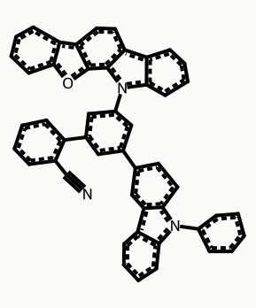 N#Cc1ccccc1-c1cc(-c2ccc3c(c2)c2ccccc2n3-c2ccccc2)cc(-n2c3ccccc3c3ccc4c5ccccc5oc4c32)c1